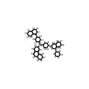 c1ccc(-c2cc(-c3ccc(N(c4ccc(-c5cccc6ccccc56)cc4)c4ccc5ccc6ccccc6c5c4)cc3)cc3ccccc23)cc1